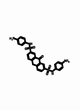 Nc1ccc(NS(=O)(=O)c2ccc3c(c2)C(=O)c2cc(S(=O)(=O)Nc4ccc(N)cc4)ccc2C3)cc1